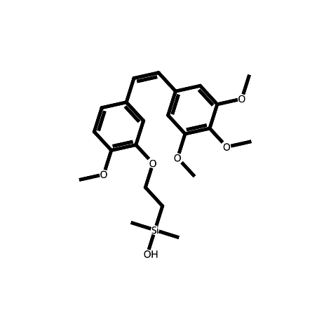 COc1ccc(/C=C\c2cc(OC)c(OC)c(OC)c2)cc1OCC[Si](C)(C)O